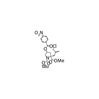 C=C(CCl)C[C@]1(C(=O)OC)C[C@H](OC(=O)c2ccc([N+](=O)[O-])cc2)CN1C(=O)OC(C)(C)C